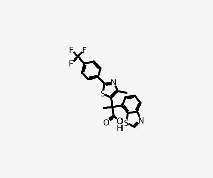 Cc1nc(-c2ccc(C(F)(F)F)cc2)sc1C(C)(C(=O)O)c1cccc2ncsc12